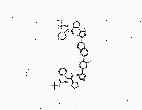 COC(=O)N[C@H](C(=O)N1CCC[C@H]1c1ncc(-c2ccc3nc(-c4ccc(-c5cnc([C@@H]6CCCN6C(=O)[C@H](NC(=O)OC(C)(C)C)c6ccccc6)[nH]5)cc4F)ccc3c2)[nH]1)C1CCOCC1